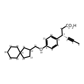 CC#C[C@@H](CC(=O)O)c1ccc(OCC2CCC3(CCCCC3)C2)cc1